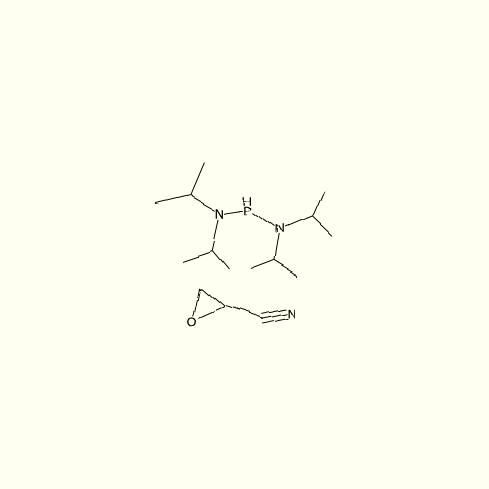 CC(C)N(PN(C(C)C)C(C)C)C(C)C.N#CC1CO1